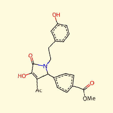 COC(=O)c1ccc(C2C(C(C)=O)=C(O)C(=O)N2CCc2cccc(O)c2)cc1